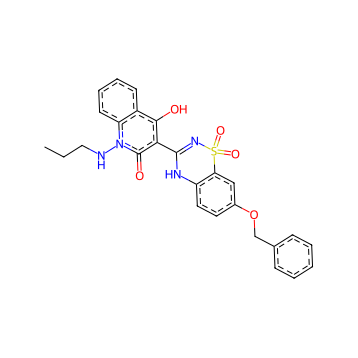 CCCNn1c(=O)c(C2=NS(=O)(=O)c3cc(OCc4ccccc4)ccc3N2)c(O)c2ccccc21